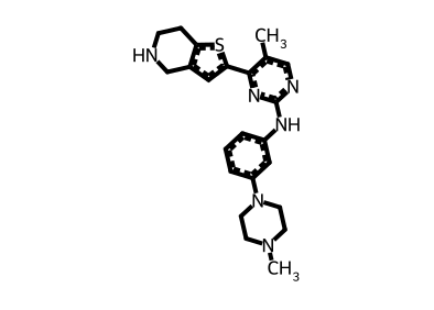 Cc1cnc(Nc2cccc(N3CCN(C)CC3)c2)nc1-c1cc2c(s1)CCNC2